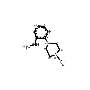 CNc1cn[c]nc1N1CCN(C)CC1